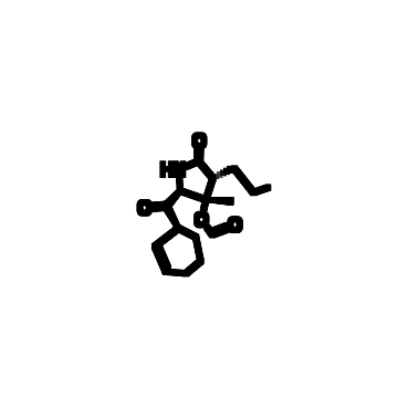 CCC[C@H]1C(=O)N[C@H](C(=O)[C@@H]2C=CCCC2)[C@@]1(C)OC=O